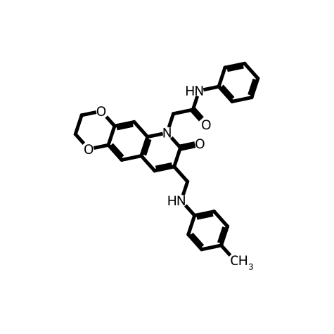 Cc1ccc(NCc2cc3cc4c(cc3n(CC(=O)Nc3ccccc3)c2=O)OCCO4)cc1